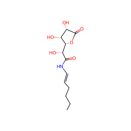 CCCCC=CNC(=O)[C@H](O)[C@H]1OC(=O)[C@@H](O)[C@H]1O